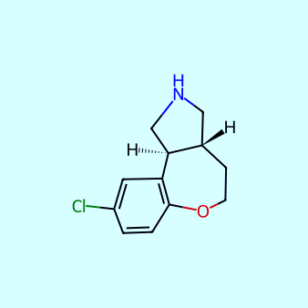 Clc1ccc2c(c1)[C@H]1CNC[C@@H]1CCO2